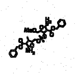 BC1OC(COP(=C)(C)OC2C(COC)OC(B)C2C(=O)OCc2ccccc2)C(C)C1C(=O)OCc1ccccc1